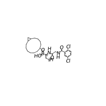 CC(C)C[C@H](NC(=O)CNC(=O)c1cc(Cl)ccc1Cl)B(O)OC1CCCCCCC2CC2CCCC1